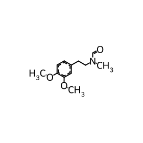 COc1ccc(CCN(C)C=O)cc1OC